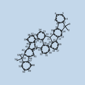 CC1(C)c2ccccc2-c2cc3c(cc21)-c1ccccc1C3c1ccccc1-c1ccccc1-n1c2ccccc2c2cc3c(cc21)-c1ccccc1C3(C)C